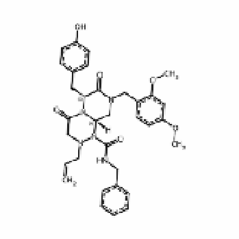 C=CCN1CC(=O)N2[C@@H](Cc3ccc(O)cc3)C(=O)N(Cc3ccc(OC)cc3OC)C[C@@H]2N1C(=O)NCc1ccccc1